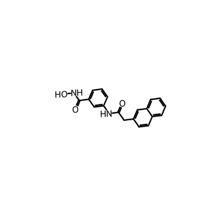 O=C(Cc1ccc2ccccc2c1)Nc1cccc(C(=O)NO)c1